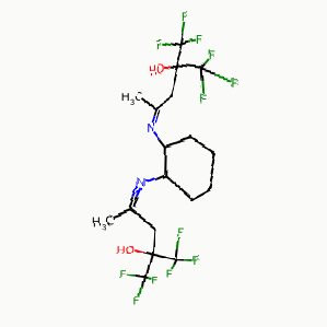 CC(CC(O)(C(F)(F)F)C(F)(F)F)=NC1CCCCC1N=C(C)CC(O)(C(F)(F)F)C(F)(F)F